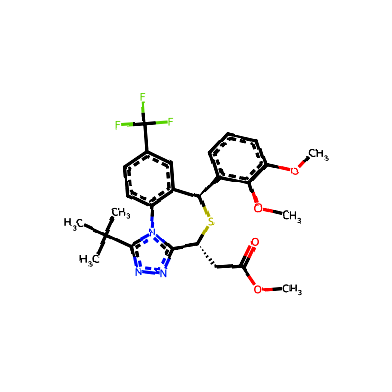 COC(=O)C[C@H]1S[C@H](c2cccc(OC)c2OC)c2cc(C(F)(F)F)ccc2-n2c1nnc2C(C)(C)C